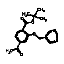 CC(=O)c1ccc(C(=O)OC(C)(C)C)c(OCc2ccccc2)c1